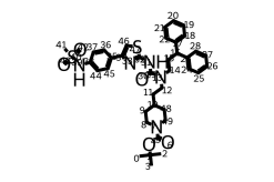 CC(C)(C)OC(=O)N1CCC(CCN(CCC(c2ccccc2)c2ccccc2)C(=O)Nc2nc(-c3ccc(NS(C)(=O)=O)cc3)cs2)CC1